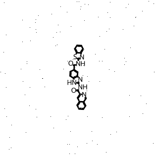 O=C(Nc1nc2ccccc2s1)c1ccc2[nH]c(NC(=O)c3cc4ccccc4cn3)nc2c1